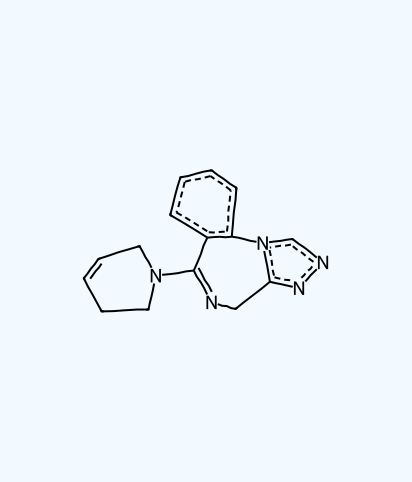 C1=CCN(C2=NCc3nncn3-c3ccccc32)CC1